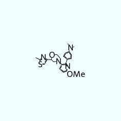 COc1ccc(N2CCOC(c3csc(C)n3)C2)c(-c2ccc(N(C)C)cc2)n1